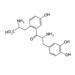 NC(Cc1ccc(O)cc1C(=O)C(N)Cc1ccc(O)c(O)c1)C(=O)O